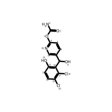 NC(=O)Oc1ccc(C(O)c2c(O)ccc(Cl)c2Cl)cn1